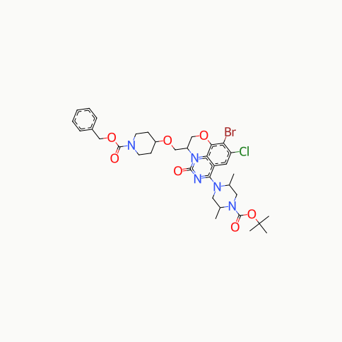 CC1CN(c2nc(=O)n3c4c(c(Br)c(Cl)cc24)OCC3COC2CCN(C(=O)OCc3ccccc3)CC2)C(C)CN1C(=O)OC(C)(C)C